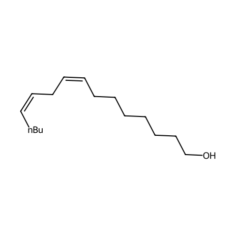 CCCC/C=C\C/C=C\CCCCCCCO